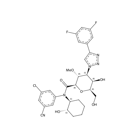 CO[C@@H]1[C@@H](n2cc(-c3cc(F)cc(F)c3)nn2)[C@@H](O)[C@@H](CO)O[C@H]1C(=O)N(c1cc(Cl)cc(C#N)c1)[C@H]1CCCC[C@@H]1O